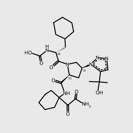 CC(C)(O)c1cnnn1[C@H]1C[C@@H](C(=O)NC2(C(=O)C(N)=O)CCCCC2)N(C(=O)[C@@H](CC2CCCCC2)NC(=O)O)C1